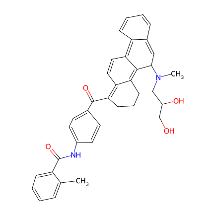 Cc1ccccc1C(=O)Nc1ccc(C(=O)C2=c3ccc4c(c3CCC2)C(N(C)CC(O)CO)C=c2ccccc2=4)cc1